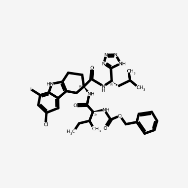 CCC(C)[C@H](NC(=O)OCc1ccccc1)C(=O)N[C@]1(C(=O)N[C@@H](CC(C)C)c2nnn[nH]2)CCc2[nH]c3c(I)cc(Cl)cc3c2C1